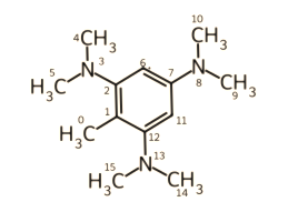 Cc1c(N(C)C)[c]c(N(C)C)cc1N(C)C